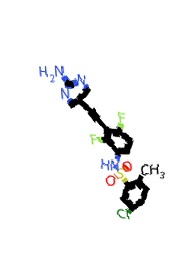 Cc1ccc(Cl)cc1S(=O)(=O)Nc1ccc(F)c(C#Cc2cnc(N)nc2)c1F